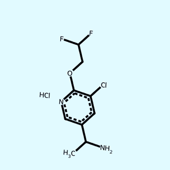 CC(N)c1cnc(OCC(F)F)c(Cl)c1.Cl